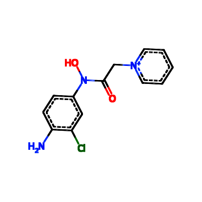 Nc1ccc(N(O)C(=O)C[n+]2ccccc2)cc1Cl